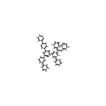 c1ccc(-c2ccc(-c3nc(-c4cccc(-c5ccccc5)c4)nc(-c4cc(-c5cccnc5)cc(-c5cc6cccnc6c6ncccc56)c4)n3)cc2)cc1